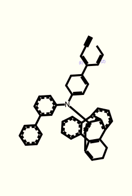 C#C/C=C(\C=C/C)C1=CC=C(N(c2cccc(-c3ccccc3)c2)c2ccc3c(c2)-c2c4cccc2-c2ccccc2C2=C4CCC=C23)CC1